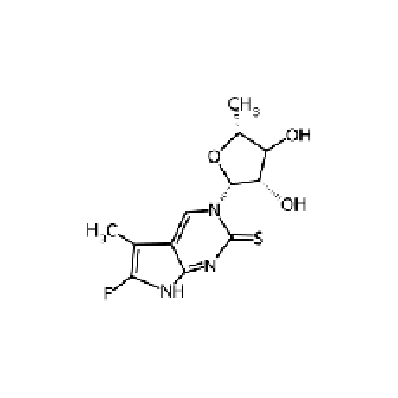 Cc1c(F)[nH]c2nc(=S)n([C@@H]3O[C@H](C)C(O)[C@@H]3O)cc12